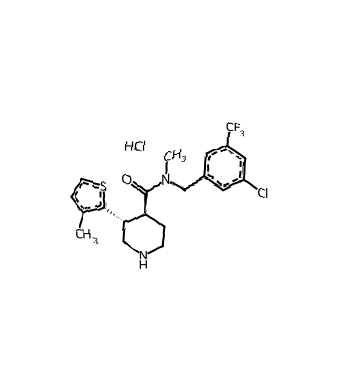 Cc1ccsc1[C@H]1CNCC[C@@H]1C(=O)N(C)Cc1cc(Cl)cc(C(F)(F)F)c1.Cl